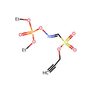 C#CCOS(=O)(=O)C=NOP(=O)(OCC)OCC